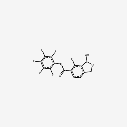 O=C(Oc1c(F)c(F)c(F)c(F)c1F)c1ccc2c(c1F)B(O)OC2